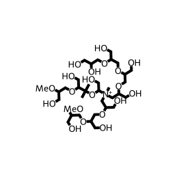 COC(CO)COC(CO)COC(CO)C[N+](C)(CC(CO)OCC(CO)OCC(CO)OCC(O)CO)C(CO)OC(C)(C)C(CO)OCC(CO)OC